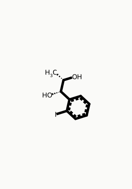 C[C@H](O)[C@@H](O)c1ccccc1I